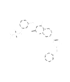 Cc1c(Cc2cccc(NS(=O)(=O)N(C)C)c2)c(=O)oc2cc(C3=COC(Cc4ccccc4)O3)ccc12